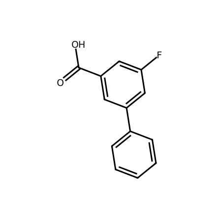 O=C(O)c1cc(F)cc(-c2ccccc2)c1